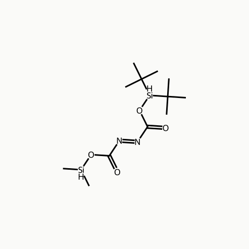 C[SiH](C)OC(=O)N=NC(=O)O[SiH](C(C)(C)C)C(C)(C)C